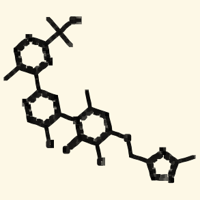 Cc1nc(COc2cc(C)n(-c3cc(-c4nc(C(C)(C)O)ncc4C)ncc3Cl)c(=O)c2Cl)cs1